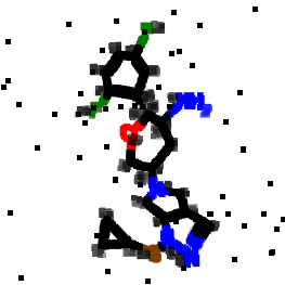 N[C@H]1C[C@@H](N2Cc3cnn(SC4CC4)c3C2)CO[C@@H]1c1cc(F)ccc1F